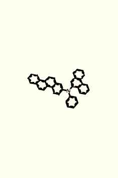 c1ccc(N(c2ccc3c(ccc4c5ccccc5ccc34)c2)c2cc3ccccc3c3ccccc23)cc1